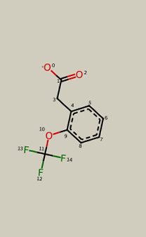 [O]C(=O)Cc1ccccc1OC(F)(F)F